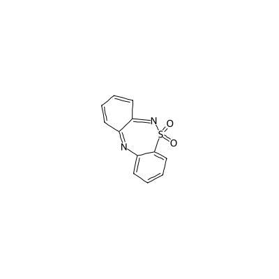 O=S1(=O)N=c2ccccc2=Nc2ccccc21